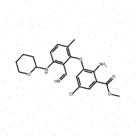 COC(=O)c1cc(Cl)cc(Oc2c(C)ccc(NC3CCCCO3)c2C=N)c1N